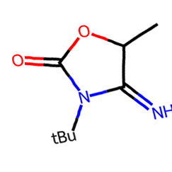 CC1OC(=O)N(C(C)(C)C)C1=N